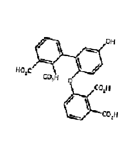 O=C(O)c1cccc(Oc2ccc(O)cc2-c2cccc(C(=O)O)c2C(=O)O)c1C(=O)O